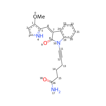 COc1cc[nH]c1C=C1C(=O)N(C#CCCCC(N)=O)c2ccccc21